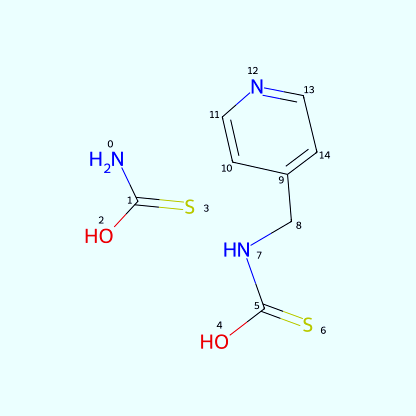 NC(O)=S.OC(=S)NCc1ccncc1